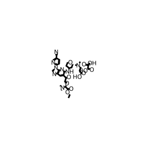 CCOC(=O)C(OCC(=O)c1cc2ncn(-c3ccc(C#N)cn3)c2nc1NC1CCOCC1)N(C)C.CN(C)CCC(=O)O.O=C(O)C(=O)O